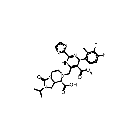 COC(=O)C1=C(CN2CCN3C(=O)N(C(C)C)CC3[C@@H]2C(=O)O)NC(c2nccs2)=N[C@H]1c1ccc(F)c(F)c1C